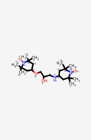 CC1(C)CC(NCC(O)COC2CC(C)(C)N([O])C(C)(C)C2)CC(C)(C)N1[O]